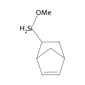 CO[SiH2]C1CC2C=CC1C2